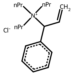 C=CC(c1ccccc1)[N+](CCC)(CCC)CCC.[Cl-]